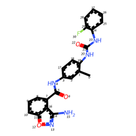 Cc1cc(NC(=O)c2cccc3onc(N)c23)ccc1NC(=O)Nc1ccccc1F